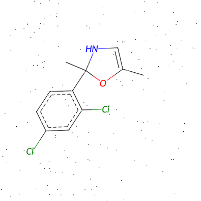 CC1=CNC(C)(c2ccc(Cl)cc2Cl)O1